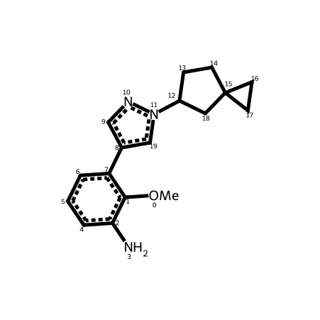 COc1c(N)cccc1-c1cnn(C2CCC3(CC3)C2)c1